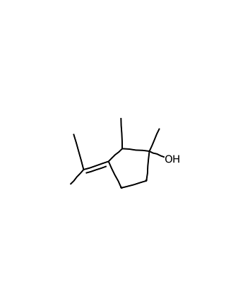 CC(C)=C1CCC(C)(O)C1C